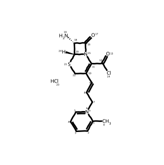 Cc1cccc[n+]1C/C=C/C1=C(C(=O)Cl)N2C(=O)[C@@H](N)[C@H]2SC1.Cl